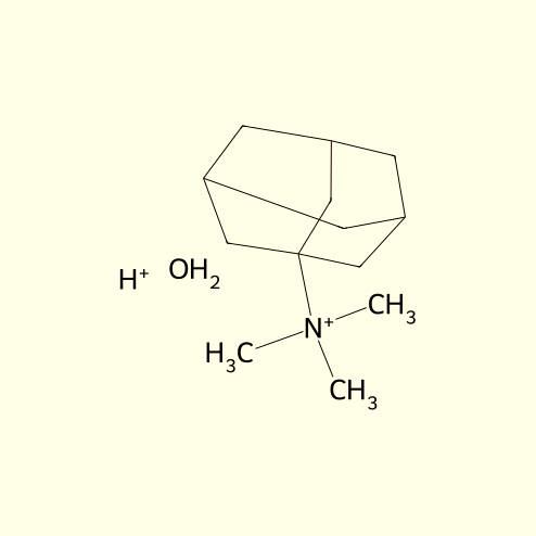 C[N+](C)(C)C12CC3CC(CC(C3)C1)C2.O.[H+]